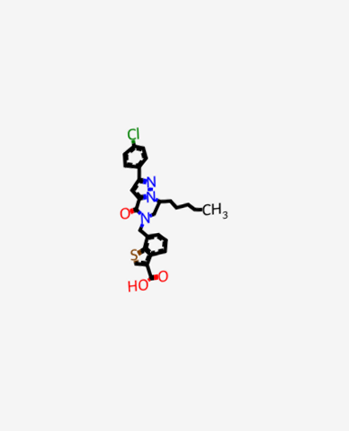 CCCCCC1CN(Cc2cccc3c(C(=O)O)csc23)C(=O)c2cc(-c3ccc(Cl)cc3)nn21